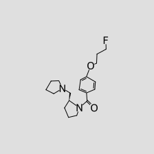 O=C(c1ccc(OCCCF)cc1)N1CCC[C@H]1CN1CCCC1